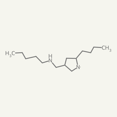 CCCCCNCC1C[N]C(CCCC)C1